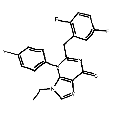 CCn1cnc2c(=O)nc(Cc3cc(F)ccc3F)n(-c3ccc(F)cc3)c21